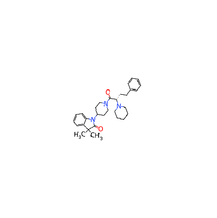 CC1(C)C(=O)N(C2CCN(C(=O)[C@H](CCc3ccccc3)N3CCCCC3)CC2)c2ccccc21